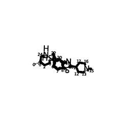 C[C@H]1CC[SH]2(c3ccc4sc(C5CCN(C)CC5)nc4c3)(C=C2)NC1